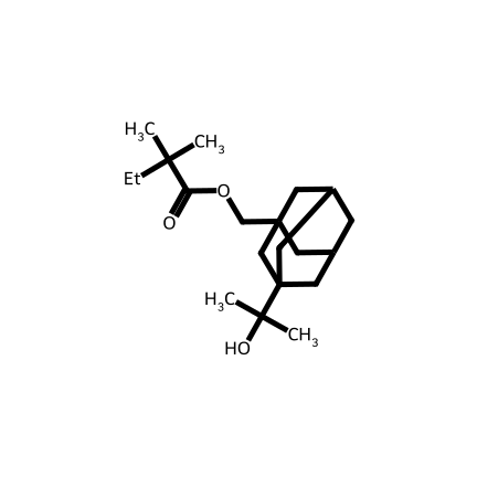 CCC(C)(C)C(=O)OCC12CC3CC(C1)CC(C(C)(C)O)(C3)C2